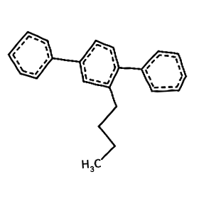 CCCCc1cc(-c2ccccc2)ccc1-c1ccccc1